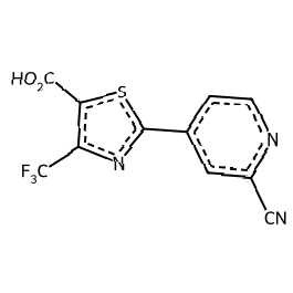 N#Cc1cc(-c2nc(C(F)(F)F)c(C(=O)O)s2)ccn1